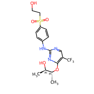 C[C@@H](O)[C@@H](C)Oc1nc(Nc2ccc(S(=O)(=O)CCO)cc2)ncc1C(F)(F)F